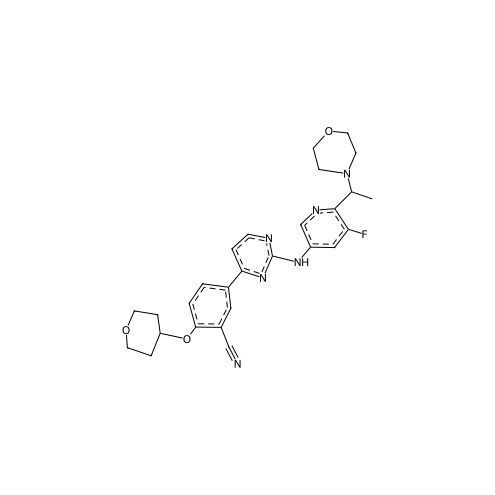 CC(c1ncc(Nc2nccc(-c3ccc(OC4CCOCC4)c(C#N)c3)n2)cc1F)N1CCOCC1